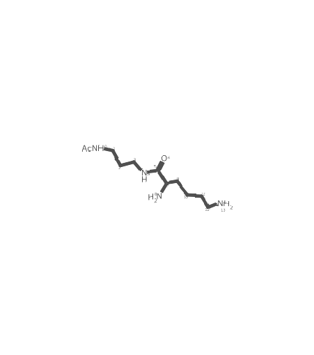 CC(=O)NCCCNC(=O)C(N)CCCCN